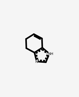 C1=Cc2[nH]cnc2CC1